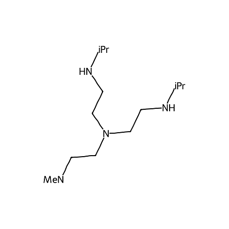 CNCCN(CCNC(C)C)CCNC(C)C